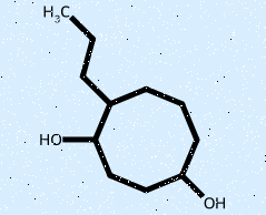 CCCC1CCCC(O)CCC1O